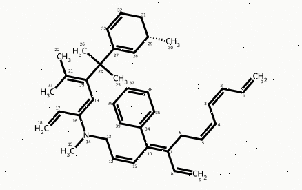 C=C/C=C\C=C/C/C(C=C)=C(/C=C\CN(C)/C(C=C)=C/C(=C(C)C)C(C)(C)C1=C[C@@H](C)CC=C1)c1ccccc1